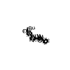 CC(C)(C)C(=O)N1CCN(c2cncc(-c3nnc(-c4ccccc4)o3)n2)CC1